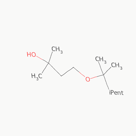 CCCC(C)C(C)(C)OCCC(C)(C)O